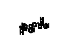 CNc1nccc(-c2cccnc2Oc2ccc(CC(=O)Nc3cccnc3)cc2)n1